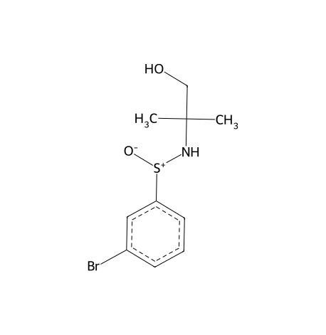 CC(C)(CO)N[S+]([O-])c1cccc(Br)c1